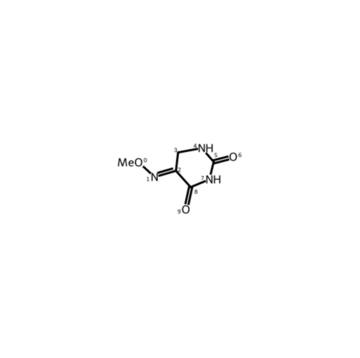 CON=C1CNC(=O)NC1=O